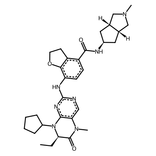 CC[C@@H]1C(=O)N(C)c2cnc(Nc3ccc(C(=O)N[C@H]4C[C@@H]5CN(C)C[C@@H]5C4)c4c3OCC4)nc2N1C1CCCC1